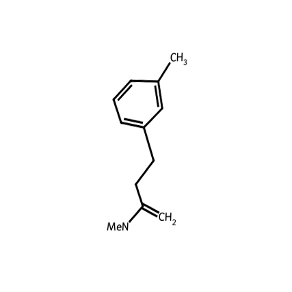 C=C(CCc1cccc(C)c1)NC